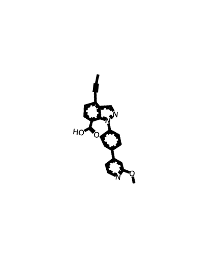 CC#Cc1ccc(C(=O)O)c2c1cnn2-c1ccc(-c2ccnc(OC)c2)cc1